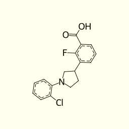 O=C(O)c1cccc(C2CCN(c3ccccc3Cl)C2)c1F